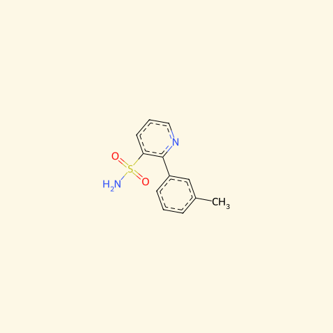 Cc1cccc(-c2ncccc2S(N)(=O)=O)c1